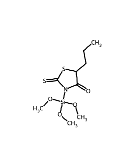 CCCC1SC(=S)N([Si](OC)(OC)OC)C1=O